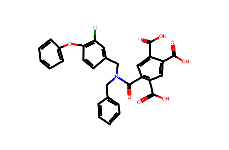 O=C(O)c1cc(C(=O)O)c(C(=O)N(Cc2ccccc2)Cc2ccc(Oc3ccccc3)c(Cl)c2)cc1C(=O)O